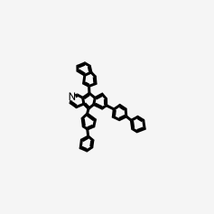 c1ccc(-c2ccc(-c3ccc4c(-c5ccc6ccccc6c5)c5cnccc5c(-c5ccc(-c6ccccc6)cc5)c4c3)cc2)cc1